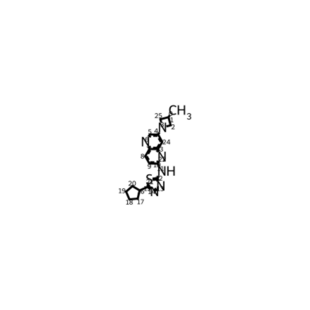 CC1CN(c2cnc3ccc(Nc4nnc(C5CCCC5)s4)nc3c2)C1